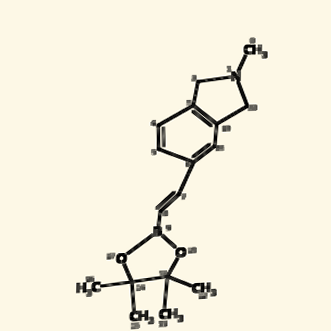 CN1Cc2ccc(C=CB3OC(C)(C)C(C)(C)O3)cc2C1